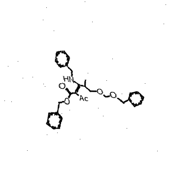 CC(=O)/C(C(=O)OCc1ccccc1)=C(/NCc1ccccc1)C(C)COCOCc1ccccc1